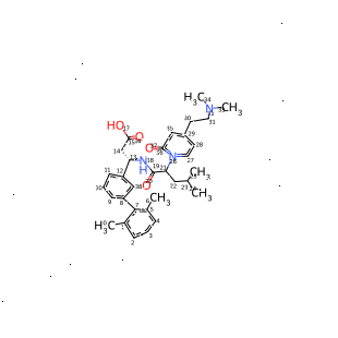 Cc1cccc(C)c1-c1cccc([C@H](CC(=O)O)NC(=O)C(CC(C)C)n2ccc(CCN(C)C)cc2=O)c1